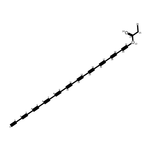 C#CC#CC#CC#CC#CC#CC#CC#CC#CC#CC#COC(=O)CC